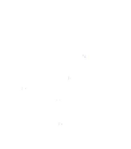 CC/C=C\c1oc2c(c1C)-c1cccc3c1B2c1ccccc1N3c1ccccc1